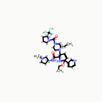 CCOC1(c2cccnc2)C=CC(N2CCN(C(=O)N3CCC[C@H]3C(F)(F)F)C[C@H]2CC)=C(C(=O)N[C@H]2CCN(C)C2)N1